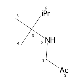 CC(=O)CNC(C)(C)C(C)C